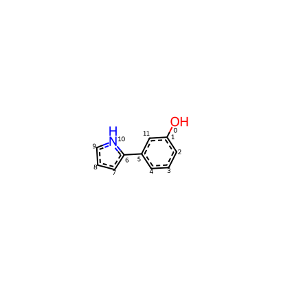 Oc1cccc(-c2ccc[nH]2)c1